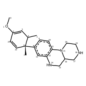 COC1=CC(C)[C@](C)(c2ccc3c(c2)NCC2CNCCN32)C=C1